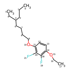 CCCC(CC)CCCCOc1ccc(OCC)c(F)c1F